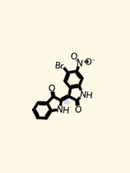 O=C1Nc2cc([N+](=O)[O-])c(Br)cc2/C1=C1/Nc2ccccc2C1=O